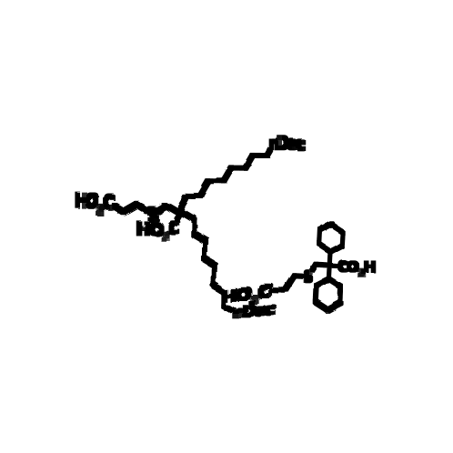 CCCCCCCCCCCCCCCCCCC(CCCCCCCCCCCCCCCCCC)(CSCCC(=O)O)C(=O)O.O=C(O)CCSCC(C(=O)O)(C1CCCCC1)C1CCCCC1